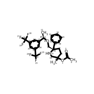 CC(=O)OC1(C)CC[C@@](CO[C@H](C)c2cc(C(F)(F)F)cc(C(F)(F)F)c2)(c2ccccc2)NC1